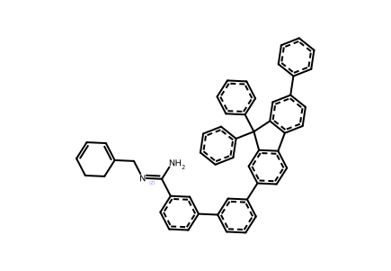 N/C(=N\CC1=CC=CCC1)c1cccc(-c2cccc(-c3ccc4c(c3)C(c3ccccc3)(c3ccccc3)c3cc(-c5ccccc5)ccc3-4)c2)c1